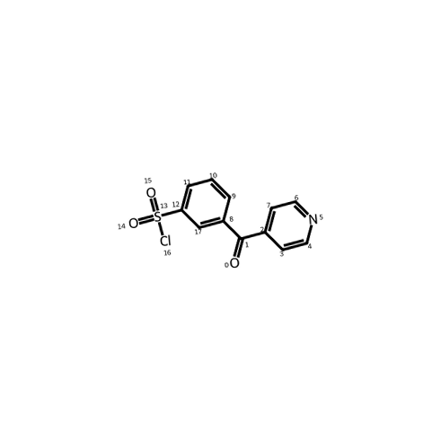 O=C(c1ccncc1)c1cccc(S(=O)(=O)Cl)c1